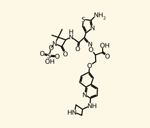 CC1(C)C(NC(=O)C(=NOC(COc2ccc3nc(NC4CNC4)ccc3c2)C(=O)O)c2csc(N)n2)C(=O)N1OS(=O)(=O)O